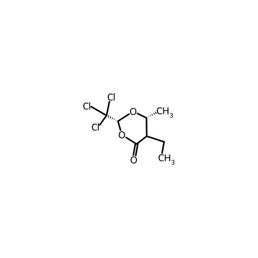 CCC1C(=O)O[C@H](C(Cl)(Cl)Cl)O[C@@H]1C